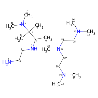 CC(NCCN)C(C)(C)N(C)C.CN(C)CCN(C)CCN(C)C